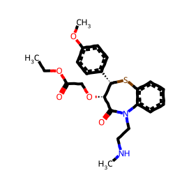 CCOC(=O)CO[C@H]1C(=O)N(CCNC)c2ccccc2S[C@H]1c1ccc(OC)cc1